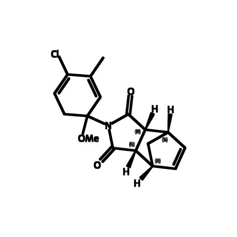 COC1(N2C(=O)[C@@H]3[C@H](C2=O)[C@@H]2C=C[C@H]3C2)C=C(C)C(Cl)=CC1